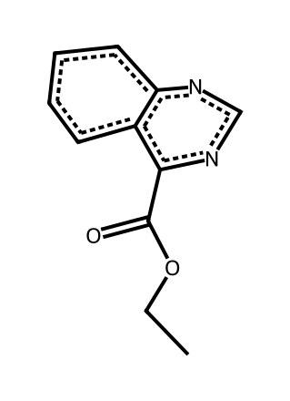 CCOC(=O)c1ncnc2ccccc12